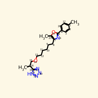 Cc1ccc(-c2nc(CCCCCCOCC(C)c3nnn[nH]3)c(C)o2)cc1